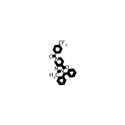 Cc1nc2c(c(=O)n1C(c1ccccc1)c1ccccc1)CCN(C(=O)[C@H]1CC[C@H](C(F)(F)F)CC1)C2